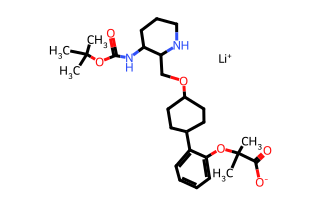 CC(C)(C)OC(=O)NC1CCCNC1COC1CCC(c2ccccc2OC(C)(C)C(=O)[O-])CC1.[Li+]